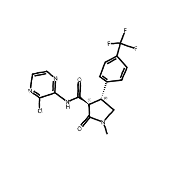 CN1C[C@@H](c2ccc(C(F)(F)F)cc2)[C@H](C(=O)Nc2nccnc2Cl)C1=O